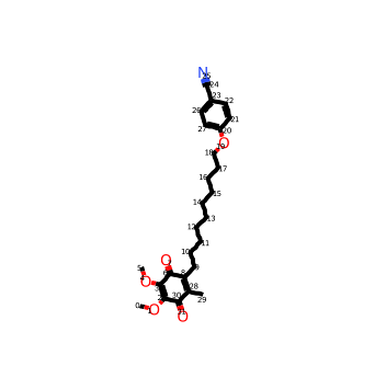 COC1=C(OC)C(=O)C(CCCCCCCCCCOc2ccc(C#N)cc2)=C(C)C1=O